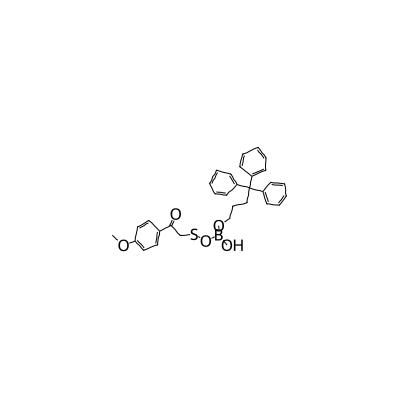 COc1ccc(C(=O)CSOB(O)OCCCC(c2ccccc2)(c2ccccc2)c2ccccc2)cc1